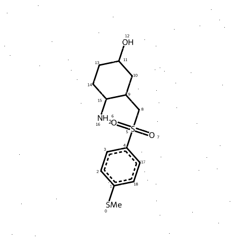 CSc1ccc(S(=O)(=O)CC2CC(O)CCC2N)cc1